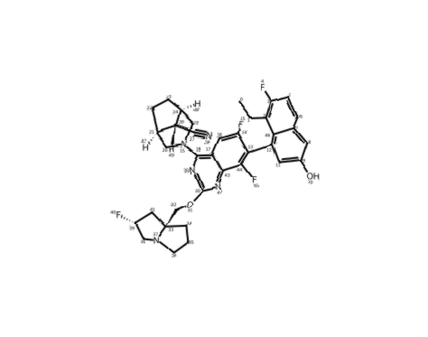 CCc1c(F)ccc2cc(O)cc(-c3c(F)cc4c(N5C[C@H]6CC[C@@H](C5)[C@@H]6C#N)nc(OC[C@@]56CCCN5C[C@H](F)C6)nc4c3F)c12